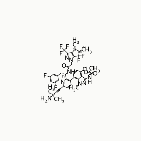 C[C@@H]1c2c(C(F)(F)F)nn(CC(=O)N[C@@H](Cc3cc(F)cc(F)c3)c3nc(C#CC(C)(C)N)ccc3-c3ccc(Cl)c4c(NS(C)(=O)=O)nn(C)c34)c2C(F)(F)[C@@H]1C